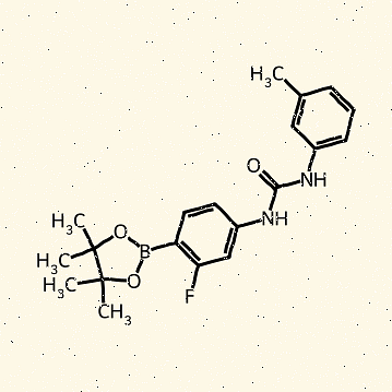 Cc1cccc(NC(=O)Nc2ccc(B3OC(C)(C)C(C)(C)O3)c(F)c2)c1